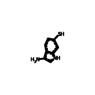 Nc1c[nH]c2cc(S)ccc12